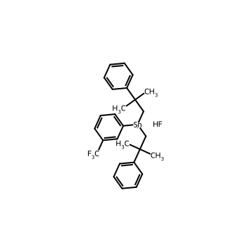 CC(C)([CH2][Sn]([CH2]C(C)(C)c1ccccc1)[c]1cccc(C(F)(F)F)c1)c1ccccc1.F